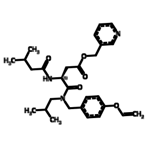 C=COc1ccc(CN(CC(C)C)C(=O)[C@H](CC(=O)OCc2cccnc2)NC(=O)CC(C)C)cc1